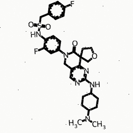 CN(C)C1CCC(Nc2ncc3c(n2)C2(CCOC2)C(=O)N(c2ccc(NS(=O)(=O)Cc4ccc(F)cc4)c(F)c2)C3)CC1